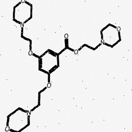 O=C(OCCN1CCOCC1)c1cc(OCCN2CCOCC2)cc(OCCN2CCOCC2)c1